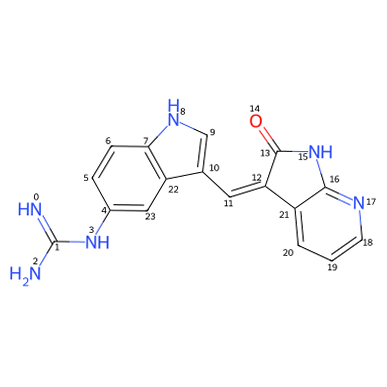 N=C(N)Nc1ccc2[nH]cc(C=C3C(=O)Nc4ncccc43)c2c1